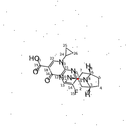 N[C@@H]1C[C@H]2CC[C@@H](C1)N2c1nc2c(cc1F)c(=O)c(C(=O)O)cn2C1CC1